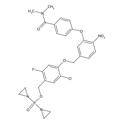 CN(C)C(=O)c1ccc(Oc2cc(COc3cc(F)c(COP(=O)(N4CC4)N4CC4)cc3Cl)ccc2[N+](=O)[O-])cc1